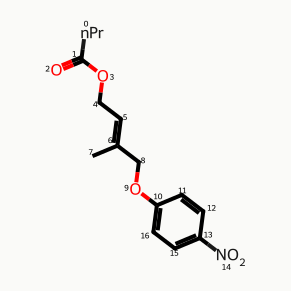 CCCC(=O)OC/C=C(\C)COc1ccc([N+](=O)[O-])cc1